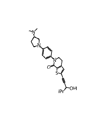 CC(C)C(O)C#Cc1cc2c(s1)C(=O)N(c1ccc(N3CC[C@@H](N(C)C)C3)cc1)CC2